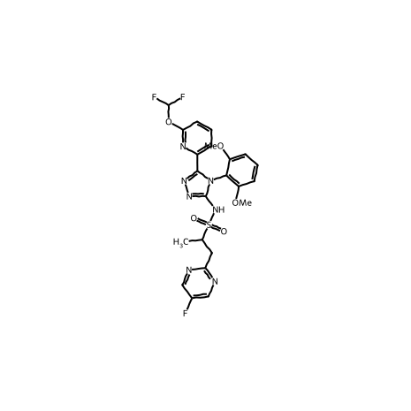 COc1cccc(OC)c1-n1c(NS(=O)(=O)C(C)Cc2ncc(F)cn2)nnc1-c1cccc(OC(F)F)n1